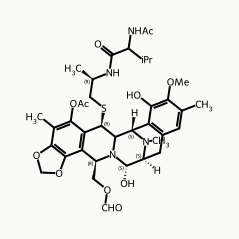 COc1c(C)cc2c(c1O)[C@H]1C3[C@H](SC[C@@H](C)NC(=O)C(NC(C)=O)C(C)C)c4c(OC(C)=O)c(C)c5c(c4[C@H](COC=O)N3[C@@H](O)[C@H](C2)N1C)OCO5